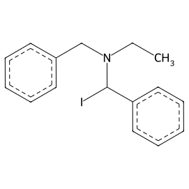 CCN(Cc1ccccc1)C(I)c1ccccc1